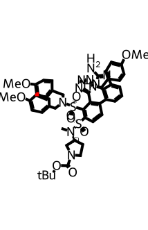 COc1ccc(CN(Cc2ccc(OC)cc2)S(=O)(=O)c2c(S(=O)(=O)N(C)[C@H]3CCN(C(=O)OC(C)(C)C)C3)ccc(-c3cccc4nc(N)[nH]c34)c2-c2nnnn2Cc2ccc(OC)cc2)cc1